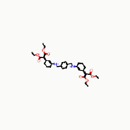 CCOC(=O)C(C(=O)OCC)=C1C=C(NCc2ccc(CNC3=CC(=C(C(=O)OCC)C(=O)OCC)CCC3)cc2)CCC1